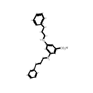 O=C(O)c1cc(OCCCc2ccccc2)cc(OCCCc2ccccc2)c1